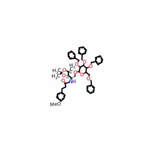 COc1ccc(CCC(=O)N[C@@H](COC2OC(COCc3ccccc3)C(OCc3ccccc3)C(OCc3ccccc3)C2OCc2ccccc2)[C@@H]2OC(C)(C)O[C@@H]2C)cc1